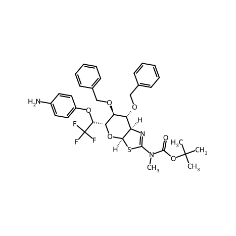 CN(C(=O)OC(C)(C)C)C1=N[C@@H]2[C@@H](OCc3ccccc3)[C@H](OCc3ccccc3)[C@@H](C(Oc3ccc(N)cc3)C(F)(F)F)O[C@@H]2S1